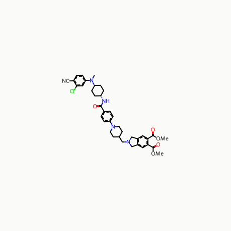 COC(=O)c1cc2c(cc1C(=O)OC)CN(CC1CCN(c3ccc(C(=O)N[C@H]4CC[C@H](N(C)c5ccc(C#N)c(Cl)c5)CC4)cc3)CC1)C2